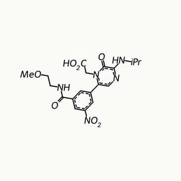 COCCNC(=O)c1cc(-c2cnc(NC(C)C)c(=O)n2CC(=O)O)cc([N+](=O)[O-])c1